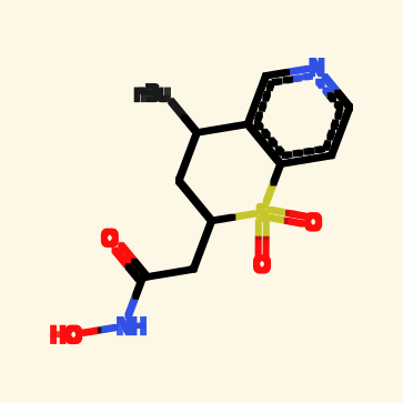 CCCCC1CC(CC(=O)NO)S(=O)(=O)c2ccncc21